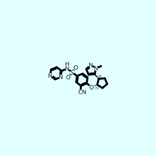 Cn1nccc1[C@H]1CCC[C@@H]1Oc1ccc(S(=O)(=O)Nc2ccncn2)cc1C#N